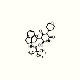 CC(C)(C)[S@@+]([O-])N[C@]1(CC(=O)C2C(=O)NC(=O)N(C3CCOCC3)C2=O)CCc2cccc(F)c21